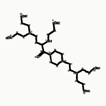 CCCCCCCCCCCCNC(CCN(CCCCCCCCCCCC)CCCCCCCCCCCC)C(=O)N1CCN(CCN(CCCCCCCCCCCC)CCCCCCCCCCCC)CC1